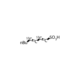 CCCC[13CH2][13CH2][13CH2][13CH2]S(=O)(=O)O